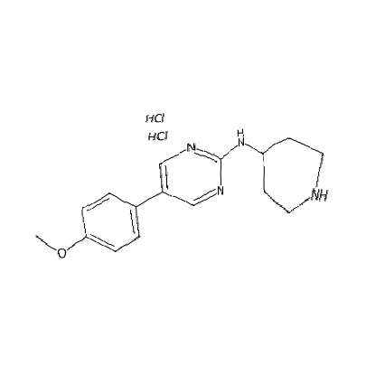 COc1ccc(-c2cnc(NC3CCNCC3)nc2)cc1.Cl.Cl